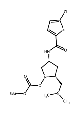 CN(C)C[C@@H]1C[C@@H](NC(=O)c2ccc(Cl)s2)CN1OC(=O)OC(C)(C)C